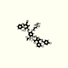 CC(=O)Nc1cc(N=Nc2c(C)c(C#N)c3nc4ccccc4n3c2O)c(OCCCS(=O)(=O)O)cc1N=Nc1sc(N=Nc2ccc(Cl)cc2)c(-c2cccc(Cl)c2)c1C(N)=O